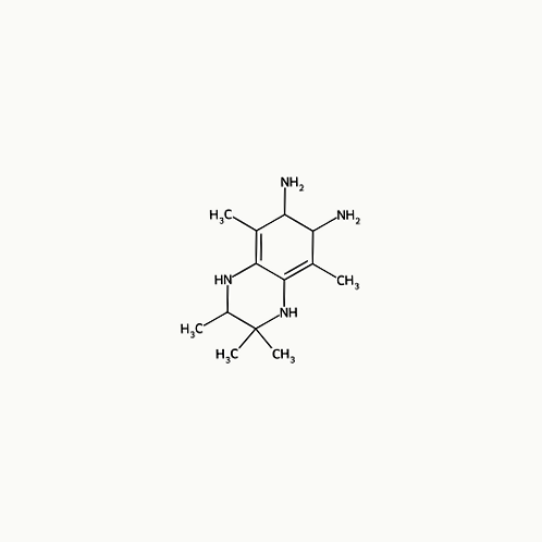 CC1=C2NC(C)C(C)(C)NC2=C(C)C(N)C1N